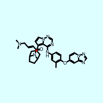 Cc1cc(Nc2ncnn3ccc(C4CC5CCC(C4)N5C(=O)/C=C/CN(C)C)c23)ccc1Oc1ccn2ncnc2c1